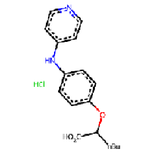 CCCCC(Oc1ccc(Nc2ccncc2)cc1)C(=O)O.Cl